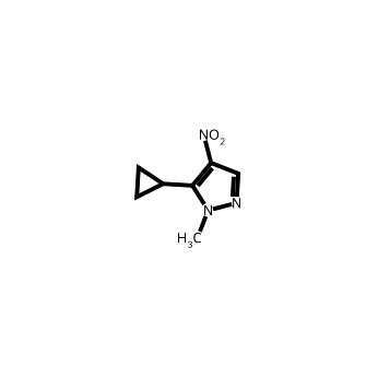 Cn1ncc([N+](=O)[O-])c1C1CC1